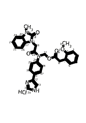 COc1ccccc1CC(=O)OCN(C(=O)Cn1c(=O)n(C)c2ccccc21)c1ccc(-c2c[nH]cn2)cc1.Cl